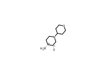 N[C@@H]1CCN(C2CCOCC2)C[C@@H]1F